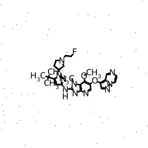 COc1c(Oc2cnn3ccncc23)cnc2nc(Nc3cc(C(C)(C)C)n([C@H]4CCN(CCF)C4)n3)n(C)c12